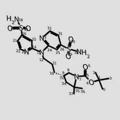 CC(C)(C)OC(=O)N1C[C@@H](CCCN(c2cc(S(N)(=O)=O)ccn2)c2cc(S(N)(=O)=O)ccn2)CC1(C)C